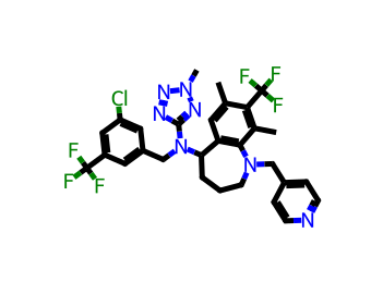 Cc1cc2c(c(C)c1C(F)(F)F)N(Cc1ccncc1)CCCC2N(Cc1cc(Cl)cc(C(F)(F)F)c1)c1nnn(C)n1